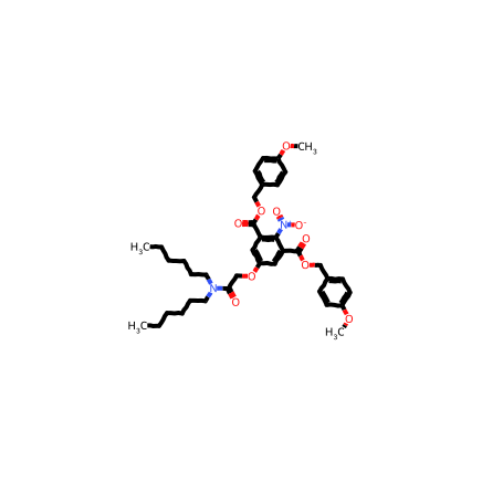 CCCCCCN(CCCCCC)C(=O)COc1cc(C(=O)OCc2ccc(OC)cc2)c([N+](=O)[O-])c(C(=O)OCc2ccc(OC)cc2)c1